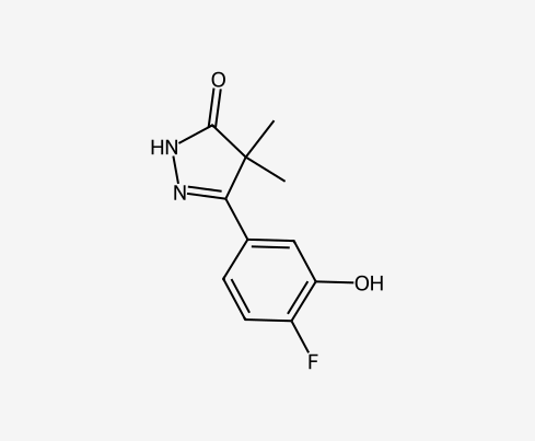 CC1(C)C(=O)NN=C1c1ccc(F)c(O)c1